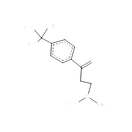 CN(C)CCC(=O)c1ccc(C(C)(C)C)cc1